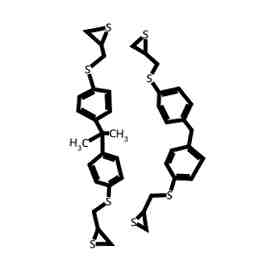 CC(C)(c1ccc(SCC2CS2)cc1)c1ccc(SCC2CS2)cc1.c1cc(SCC2CS2)ccc1Cc1ccc(SCC2CS2)cc1